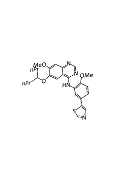 CCCC(CCC)Oc1cc2c(Nc3cc(-c4cncs4)ccc3OC)ncnc2cc1OC